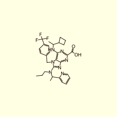 CCCN(c1nc2nc(C(=O)O)nc(NC(C)C3CCC3)c2n1Cc1ccc(C(F)(F)F)cc1)C(C)c1ccccn1